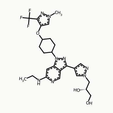 CCNc1cc2c(cn1)c(-c1cnn(C[C@@H](O)CO)c1)nn2C1CCC(Oc2cn(C)nc2C(F)(F)F)CC1